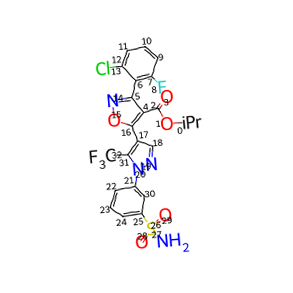 CC(C)OC(=O)c1c(-c2c(F)cccc2Cl)noc1-c1cnn(-c2cccc(S(N)(=O)=O)c2)c1C(F)(F)F